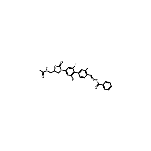 CC(=O)NCC1CN(c2cc(F)c(-c3ccc(/C=N/OC(=O)c4ccccc4)c(F)c3)c(F)c2)C(=O)O1